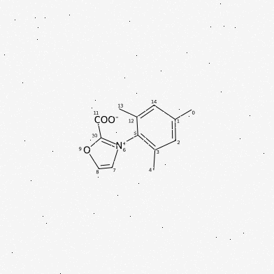 Cc1cc(C)c(-[n+]2ccoc2C(=O)[O-])c(C)c1